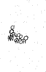 O=C(NCc1cc(Cl)ccc1-n1cnnn1)[C@@H]1CC=NN1C(=O)[C@H](O)C1CCCCC1